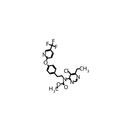 CCc1ncnc(N(CCc2ccc(Oc3ccc(C(F)(F)F)cn3)cc2)C(=O)OC)c1Cl